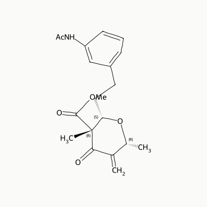 C=C1C(=O)[C@](C)(C(=O)OC)[C@H](CCc2cccc(NC(C)=O)c2)O[C@@H]1C